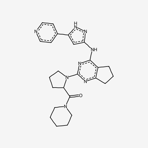 O=C(C1CCCN1c1nc2c(c(Nc3cc(-c4ccncc4)[nH]n3)n1)CCC2)N1CCCCC1